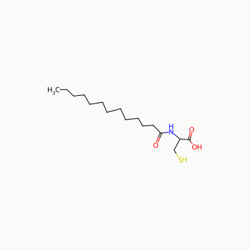 CCCCCCCCCCCCC(=O)NC(CS)C(=O)O